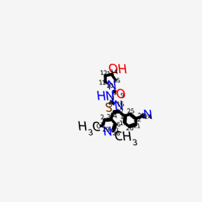 Cc1cc(-c2sc(NC(=O)N3CC[C@H](O)C3)nc2-c2cccc(C#N)c2)cc(C)n1